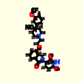 N#CC1(c2cccc(OC(F)(F)F)c2)CCN(CCOc2cccc3c2CN(C2CCC(=O)NC2=O)C3=O)CC1